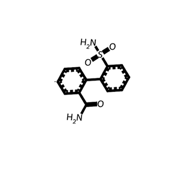 NC(=O)c1c[c]ccc1-c1ccccc1S(N)(=O)=O